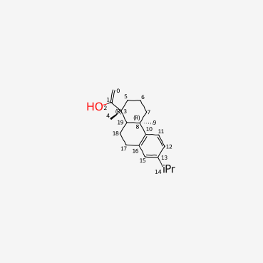 C=C(O)[C@]1(C)CCC[C@@]2(C)c3ccc(C(C)C)cc3CCC12